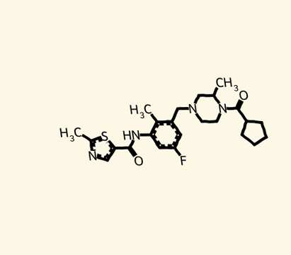 Cc1ncc(C(=O)Nc2cc(F)cc(CN3CCN(C(=O)C4CCCC4)C(C)C3)c2C)s1